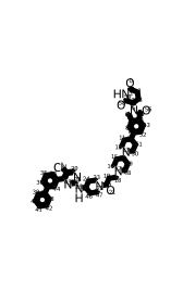 O=C1CCC(N2Cc3cc(C4CCN(C5CCN(CCC(=O)N6CCC(Nc7ncc(Cl)c(-c8cccc(-c9ccccc9)c8)n7)CC6)CC5)CC4)ccc3C2=O)C(=O)N1